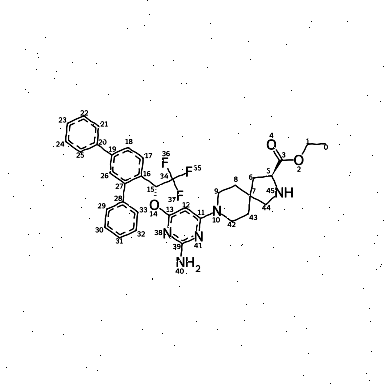 CCOC(=O)[C@@H]1CC2(CCN(c3cc(O[C@H](c4ccc(-c5ccccc5)cc4-c4ccccc4)C(F)(F)F)nc(N)n3)CC2)CN1